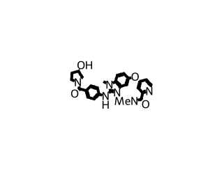 CNC(=O)c1cc(Oc2ccc3c(c2)nc(Nc2ccc(C(=O)N4CC[C@H](O)C4)cc2)n3C)ccn1